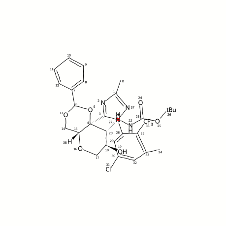 Cc1nc([C@@]23OC(c4ccccc4)OC[C@H]2OC[C@H](O)[C@H]3NNC(=O)OC(C)(C)C)n(-c2cc(Cl)cc(C)c2C(F)(F)F)n1